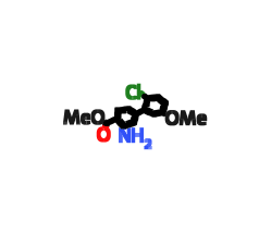 COC(=O)c1ccc(-c2cc(OC)ccc2Cl)cc1N